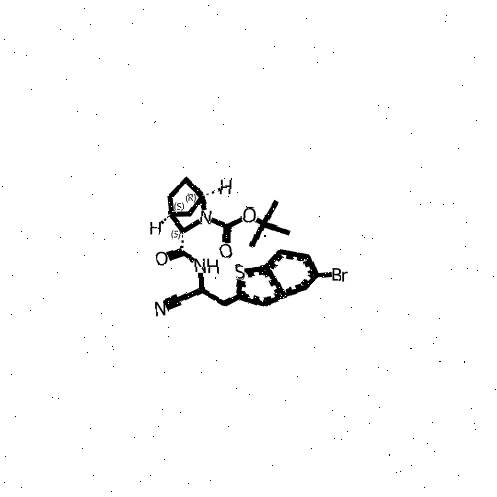 CC(C)(C)OC(=O)N1[C@@H]2CC[C@@H](C2)[C@H]1C(=O)NC(C#N)Cc1cc2cc(Br)ccc2s1